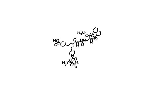 CCOC(=O)[C@H](CNC(=O)CNC(=O)C(CCC1CCN(C(=O)O)CC1)CCC1CCN(C(=O)OC(C)(C)C)CC1)NS(=O)(=O)c1cccc2ccccc12